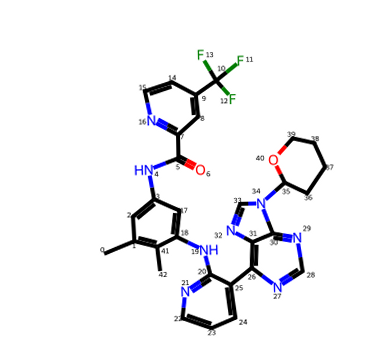 Cc1cc(NC(=O)c2cc(C(F)(F)F)ccn2)cc(Nc2ncccc2-c2ncnc3c2ncn3C2CCCCO2)c1C